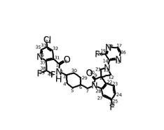 O=C(NC1CCC(CN2C(=O)C3(CN(c4nccnc4F)C3)c3ccc(F)cc32)CC1)c1cc(Cl)cnc1C(F)F